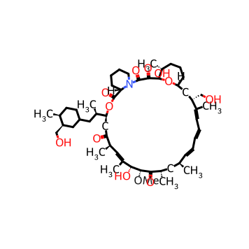 CO[C@H]1C(=O)[C@@H](C)C[C@H](C)/C=C/C=C/C=C(\C)[C@@H](CO)C[C@@H]2CCC[C@@H](C)[C@@](O)(O2)C(=O)C(=O)N2CCCC[C@H]2C(=O)O[C@H]([C@H](C)CC2CC[C@H](C)[C@H](CO)C2)CC(=O)[C@H](C)/C=C(\C)[C@H]1O